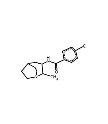 CC1C(NC(=O)c2ccc(Cl)cc2)CC2CCN1CC2